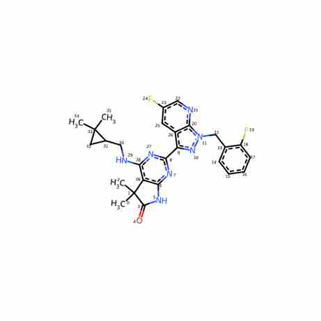 CC1(C)C(=O)Nc2nc(-c3nn(Cc4ccccc4F)c4ncc(F)cc34)nc(NCC3CC3(C)C)c21